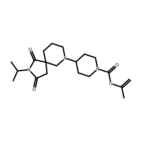 C=C(C)OC(=O)N1CCC(N2CCCC3(CC(=O)N(C(C)C)C3=O)C2)CC1